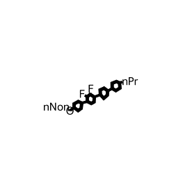 CCCCCCCCCOc1ccc(-c2ccc(-c3ccc(-c4ccc(CCC)cc4)cc3)c(F)c2F)cc1